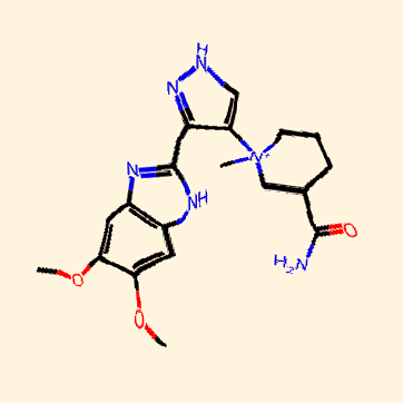 COc1cc2nc(-c3n[nH]cc3[N+]3(C)CCCC(C(N)=O)C3)[nH]c2cc1OC